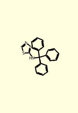 [c]1nnc(NC(c2ccccc2)(c2ccccc2)c2ccccc2)s1